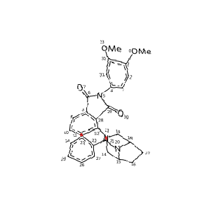 COc1ccc(N2C(=O)c3cccc(N4CC5CCC(C4)N5Cc4ccccc4)c3C2=O)cc1OC